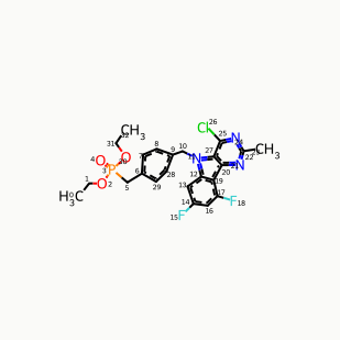 CCOP(=O)(Cc1ccc(Cn2c3cc(F)cc(F)c3c3nc(C)nc(Cl)c32)cc1)OCC